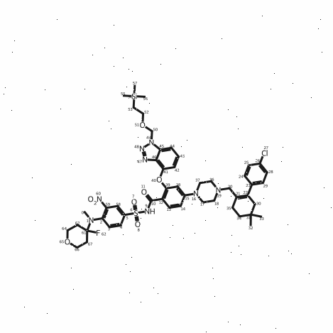 CN(c1ccc(S(=O)(=O)NC(=O)c2ccc(N3CCN(CC4=C(c5ccc(Cl)cc5)CC(C)(C)CC4)CC3)cc2Oc2cccc3c2nnn3COCC[Si](C)(C)C)cc1[N+](=O)[O-])C1(F)CCOCC1